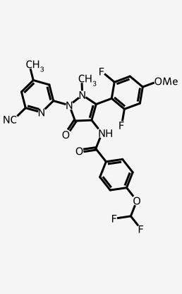 COc1cc(F)c(-c2c(NC(=O)c3ccc(OC(F)F)cc3)c(=O)n(-c3cc(C)cc(C#N)n3)n2C)c(F)c1